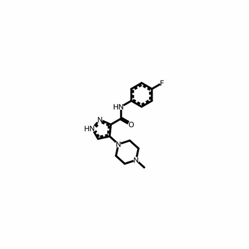 CN1CCN(c2c[nH]nc2C(=O)Nc2ccc(F)cc2)CC1